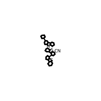 N#Cc1ccc(-c2cccc3c2sc2ccccc23)c2c1sc1c(-n3c4ccccc4c4cc(-c5ccccc5)ccc43)cccc12